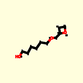 OCCCCCCOCC1CCO1